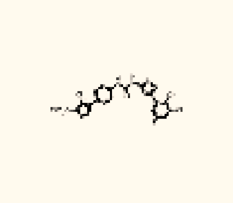 CCOC(=O)c1coc(-c2ccc(NC(=O)Nc3nnc(-c4cc(Cl)cc(Cl)c4O)s3)cc2)c1C